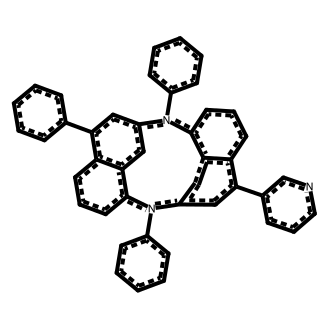 c1ccc(-c2cc3cc4c2cccc4n(-c2ccccc2)c2cc(-c4cccnc4)c4cccc(c4c2)n3-c2ccccc2)cc1